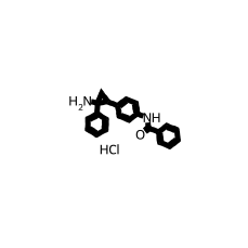 Cl.NC1(c2ccccc2)CC1c1ccc(NC(=O)c2ccccc2)cc1